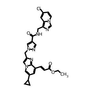 CCOC(=O)C=Cc1cc(C2CC2)cn2cc(Cn3cc(C(=O)NCc4ncn5ccc(Cl)cc45)cn3)nc12